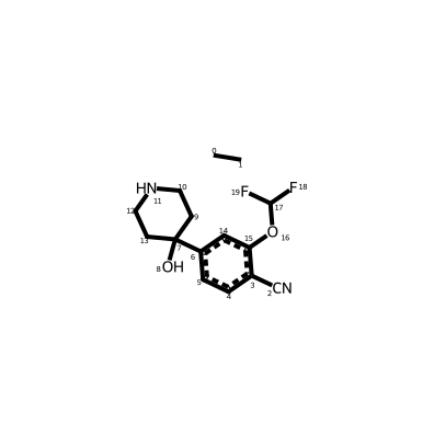 CC.N#Cc1ccc(C2(O)CCNCC2)cc1OC(F)F